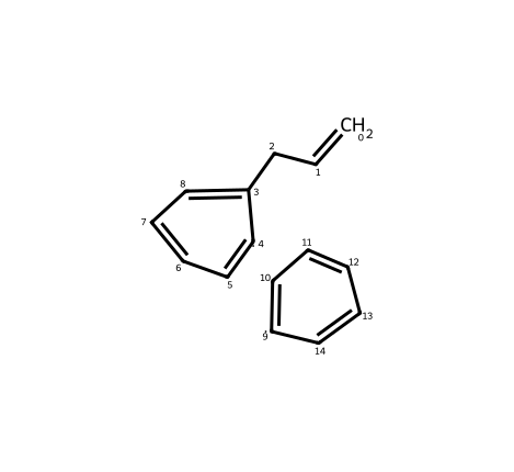 C=CCc1[c]cccc1.[c]1ccccc1